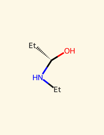 CCN[C@@H](O)CC